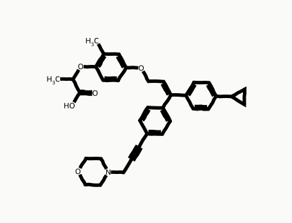 Cc1cc(OCC=C(c2ccc(C#CCN3CCOCC3)cc2)c2ccc(C3CC3)cc2)ccc1OC(C)C(=O)O